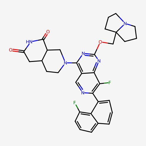 O=C1CC2CCN(c3nc(OCC45CCCN4CCC5)nc4c(F)c(-c5cccc6cccc(F)c56)ncc34)CC2C(=O)N1